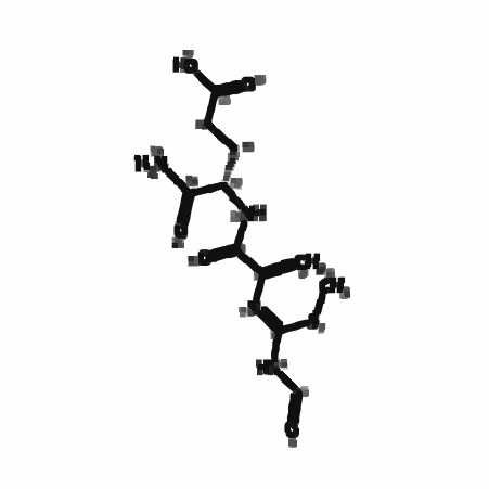 C=C(/N=C(/NC=O)SC)C(=O)N[C@@H](CCC(=O)O)C(N)=O